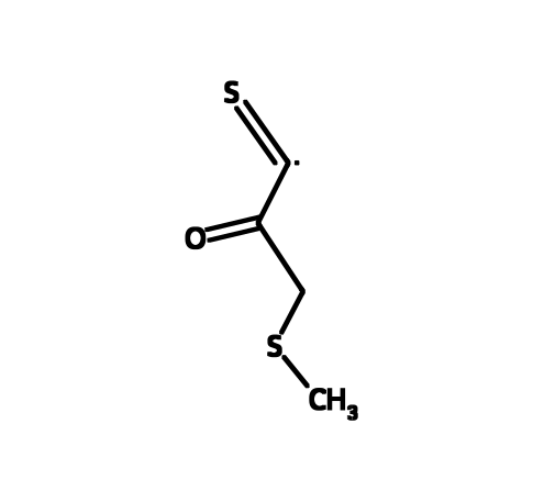 CSCC(=O)[C]=S